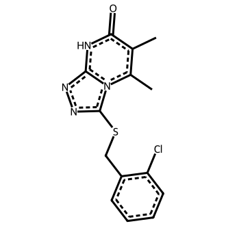 Cc1c(C)n2c(SCc3ccccc3Cl)nnc2[nH]c1=O